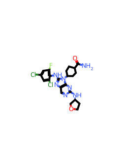 NC(=O)C1CCC(n2c(Nc3c(F)cc(Cl)cc3Cl)nc3cnc(N[C@H]4CCOC4)nc32)CC1